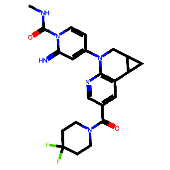 CNC(=O)n1ccc(N2CC3CC3c3cc(C(=O)N4CCC(F)(F)CC4)cnc32)cc1=N